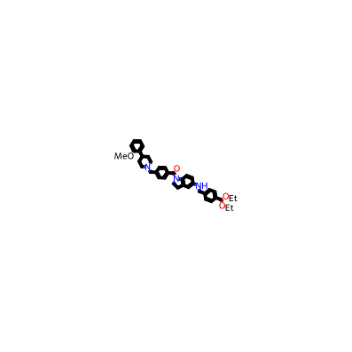 CCOC(OCC)c1ccc(CNc2ccc3c(c2)CCN3C(=O)c2ccc(CN3CCC(c4ccccc4OC)CC3)cc2)cc1